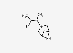 CC([C@H](C)Br)N1CC2CC(C1)N2